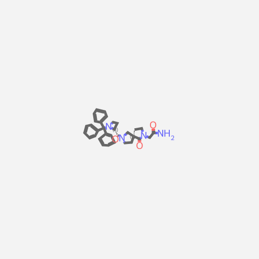 NC(=O)CN1CC[C@@]2(CCN(C(=O)[C@H]3CCN3C(c3ccccc3)(c3ccccc3)c3ccccc3)C2)C1=O